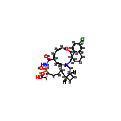 O=C1NS(=O)(=O)[C@@H](CO)CCC2=C\C[C@@H]3CC[C@H]3CN3C[C@@]4(CCCc5cc(Cl)ccc54)COC=CC=C1\C=C\23